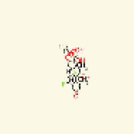 CC(=O)O[C@@H]1C[C@H]2[C@@H]3C[C@H](F)C4=CC(=O)C=C[C@]4(C)[C@@]3(F)[C@@H](O)C[C@]2(C)[C@@]1(O)C(=O)CO